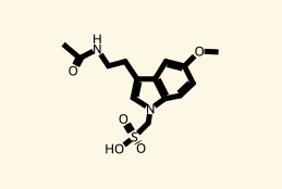 COc1ccc2c(c1)c(CCNC(C)=O)cn2CS(=O)(=O)O